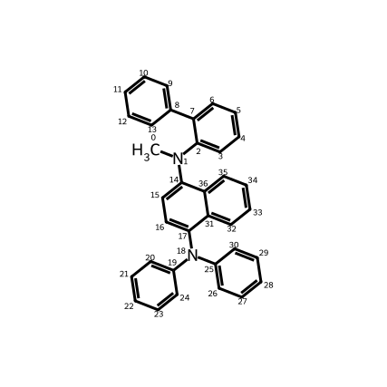 CN(c1ccccc1-c1ccccc1)c1ccc(N(c2ccccc2)c2ccccc2)c2ccccc12